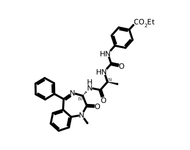 CCOC(=O)c1ccc(NC(=O)N[C@@H](C)C(=O)N[C@H]2N=C(c3ccccc3)c3ccccc3N(C)C2=O)cc1